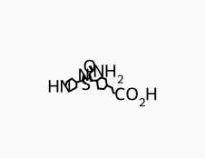 NC(=O)c1nc(C2CCNCC2)sc1C1CCC(CCC(=O)O)CC1